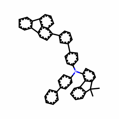 CC1(C)c2ccccc2-c2c(N(c3ccc(-c4ccccc4)cc3)c3ccc(-c4cccc(-c5ccc6c7c(cccc57)-c5ccccc5-6)c4)cc3)cccc21